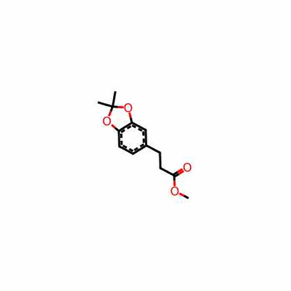 COC(=O)CCc1ccc2c(c1)OC(C)(C)O2